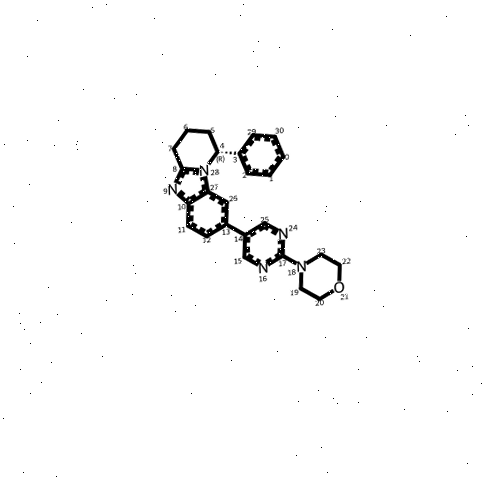 c1ccc([C@H]2CCCc3nc4ccc(-c5cnc(N6CCOCC6)nc5)cc4n32)cc1